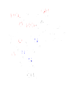 Cc1ccc(N(C(=O)c2ccco2)C2CCN(CCC3(CCC(CO)(CO)CCCC(=O)O)CCCCC3)CC2)nc1